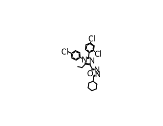 CCc1c(-c2nnc(C3CCCCC3)o2)nc(-c2ccc(Cl)cc2Cl)n1-c1ccc(Cl)cc1